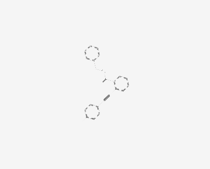 Cc1ccc(C#Cc2ccccc2C(=O)NCc2ccccc2)cc1